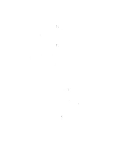 CC1(c2cc(CNC(=O)c3ncoc3C(F)(F)F)ccc2F)N=C(N)OCC1(F)F